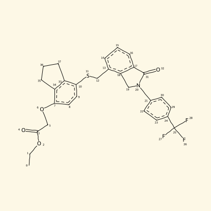 CCOC(=O)COc1ccc(SCc2cccc3c2CN(c2ccc(C(F)(F)F)cc2)C3=O)c2c1CCC2